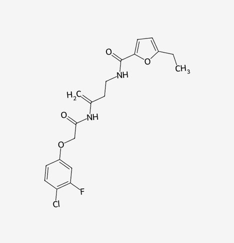 C=C(CCNC(=O)c1ccc(CC)o1)NC(=O)COc1ccc(Cl)c(F)c1